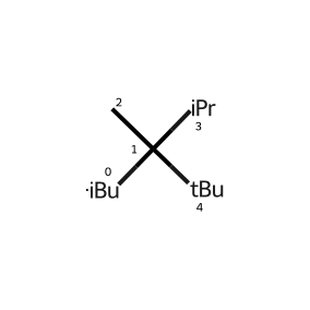 CC[C](C)C(C)(C(C)C)C(C)(C)C